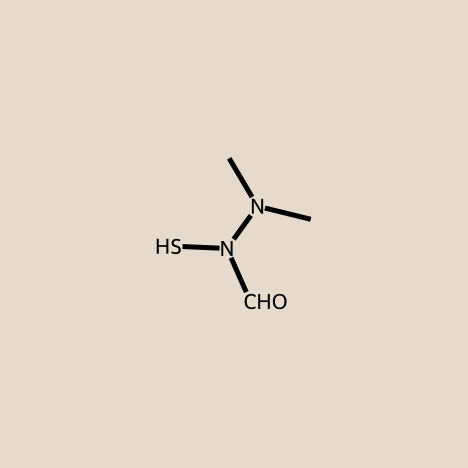 CN(C)N(S)C=O